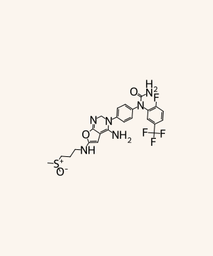 C[S+]([O-])CCCNc1cc2c(o1)=NCN(c1ccc(N(C(N)=O)c3cc(C(F)(F)F)ccc3F)cc1)C=2N